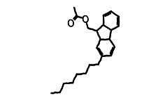 CCCCCCCCC1=CC2C(C=C1)C1C=CC=CC1C2COC(C)=O